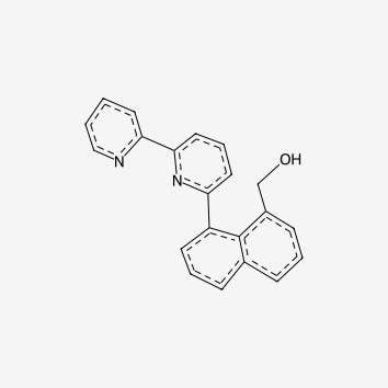 OCc1cccc2cccc(-c3cccc(-c4ccccn4)n3)c12